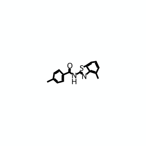 Cc1ccc(C(=O)Nc2nc3c(C)cccc3s2)cc1